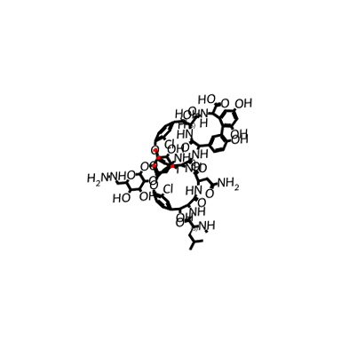 CN[C@@H](CC(C)C)C(=O)NC1C(=O)NC(CC(N)=O)C(=O)NC2C(=O)NC3C(=O)N[C@H](C(=O)NC(C(=O)O)c4cc(O)cc(O)c4-c4cc3ccc4O)[C@H](O)c3ccc(c(Cl)c3)Oc3cc2cc(c3OC2OC(CNN)C(O)C(O)C2OC2CC(N)(I)C(O)C(C)O2)Oc2ccc(cc2Cl)C1O